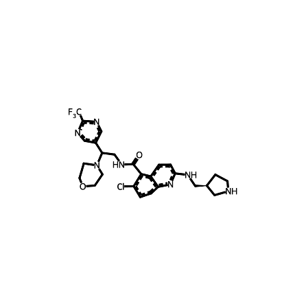 O=C(NCC(c1cnc(C(F)(F)F)nc1)N1CCOCC1)c1c(Cl)ccc2nc(NC[C@H]3CCNC3)ccc12